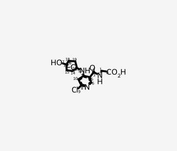 O=C(O)CNC(=O)c1cnc(Cl)cc1NC12CCC(O)(CC1)CC2